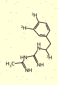 [2H]c1ccc(CC([2H])NC(=N)NC(C)=N)cc1[2H]